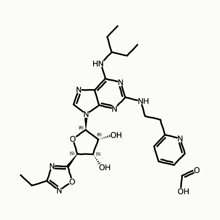 CCc1noc([C@H]2O[C@@H](n3cnc4c(NC(CC)CC)nc(NCCc5ccccn5)nc43)[C@H](O)[C@@H]2O)n1.O=CO